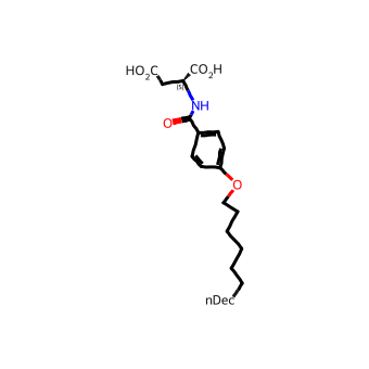 CCCCCCCCCCCCCCCCOc1ccc(C(=O)N[C@@H](CC(=O)O)C(=O)O)cc1